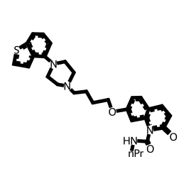 CCCNC(=O)n1c(=O)ccc2ccc(OCCCCN3CCN(c4cccc5sccc45)CC3)cc21